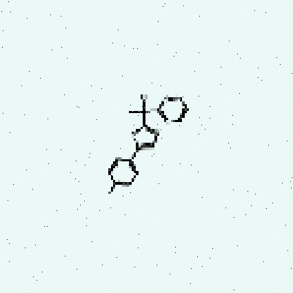 CC(O)(c1ccccn1)c1ncc(-c2ccc(F)cc2)s1